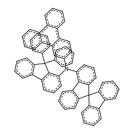 c1ccc(C2(c3ccccc3)c3ccccc3-c3cccc(N(c4ccc5c6ccccc6c6ccccc6c5c4)c4cccc5c4-c4ccccc4C54c5ccccc5-c5ccccc54)c32)cc1